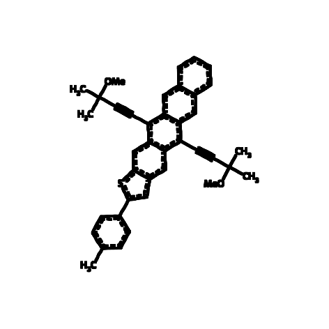 COC(C)(C)C#Cc1c2cc3ccccc3cc2c(C#CC(C)(C)OC)c2cc3sc(-c4ccc(C)cc4)cc3cc12